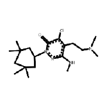 CNc1nn(C2CC(C)(C)CC(C)(C)C2)c(=O)c(Cl)c1CCN(C)C